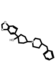 OC1(c2ccc3c(c2)OCO3)CCC(N2CCC(Cc3ccccc3)CC2)CC1